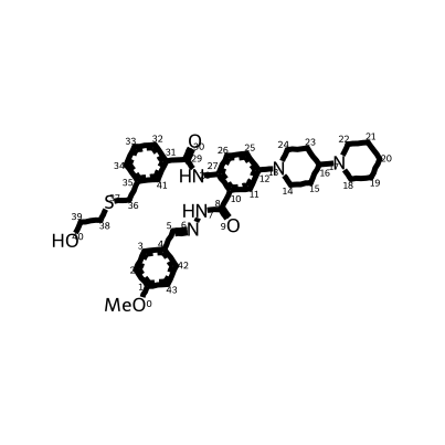 COc1ccc(/C=N/NC(=O)c2cc(N3CCC(N4CCCCC4)CC3)ccc2NC(=O)c2cccc(CSCCO)c2)cc1